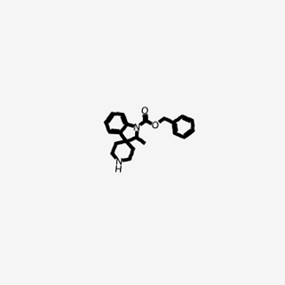 CC1N(C(=O)OCc2ccccc2)c2ccccc2C12CCNCC2